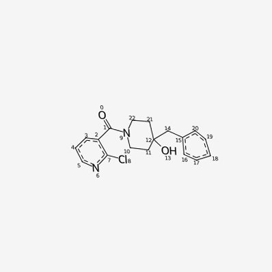 O=C(c1cccnc1Cl)N1CCC(O)(Cc2ccccc2)CC1